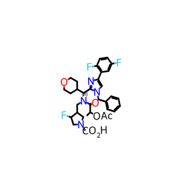 CC(=O)OC(C)C(=O)N(CC1CN(C(=O)O)CC1F)[C@@H](c1nc(-c2cc(F)ccc2F)cn1Cc1ccccc1)C1CCOCC1